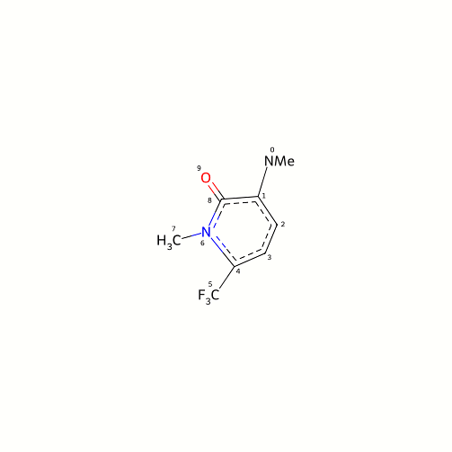 CNc1ccc(C(F)(F)F)n(C)c1=O